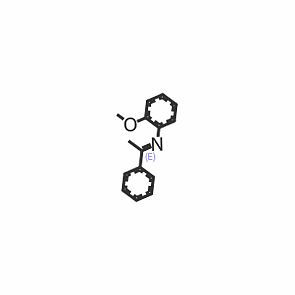 COc1ccccc1/N=C(\C)c1ccccc1